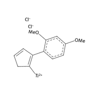 COc1ccc(C2=[C]([Ti+2])CC=C2)c(OC)c1.[Cl-].[Cl-]